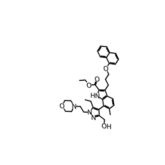 CCOC(=O)c1[nH]c2c(-c3c(CO)nn(CCN4CCOCC4)c3CC)c(C)ccc2c1CCCOc1cccc2ccccc12